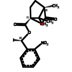 CC1(C)[C@@]2(C)CC[C@]1(C(=O)O[C@@H](I)c1ccccc1[N+](=O)[O-])OC2=O